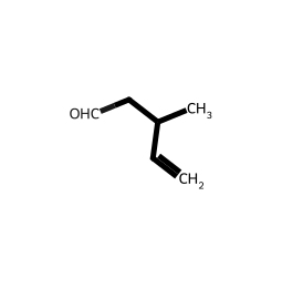 C=CC(C)CC=O